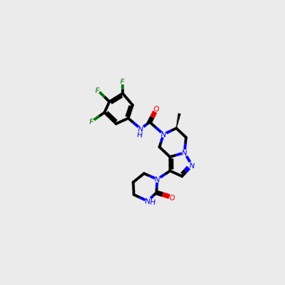 C[C@H]1Cn2ncc(N3CCCNC3=O)c2CN1C(=O)Nc1cc(F)c(F)c(F)c1